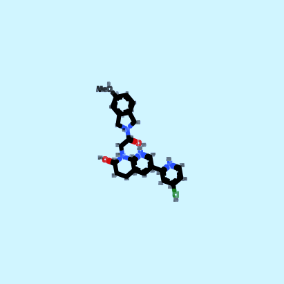 COc1ccc2c(c1)CN(C(=O)CN1C(=O)CCc3cc(-c4cc(Cl)ccn4)cnc31)C2